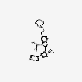 COc1nnc(-c2ccncc2)cc1-c1cc2ccc(CCN3CCCCC3)cc2n1C(=O)O